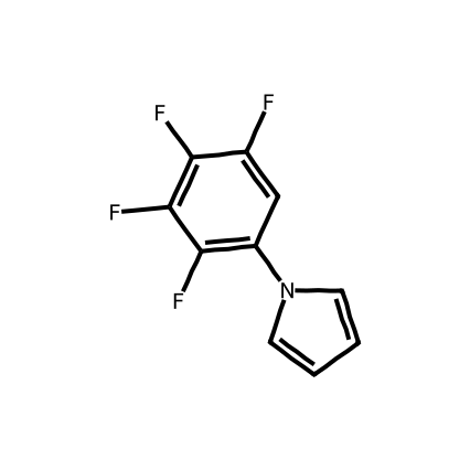 Fc1cc(-n2cccc2)c(F)c(F)c1F